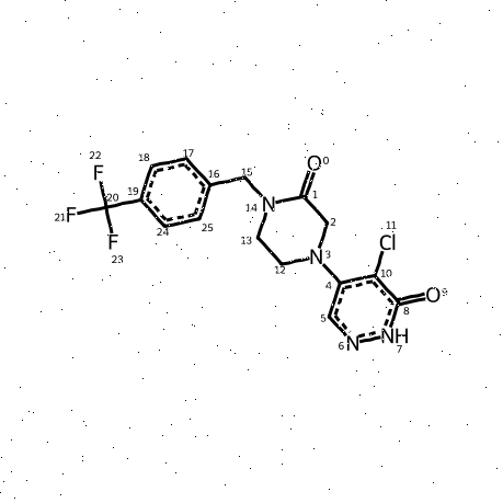 O=C1CN(c2cn[nH]c(=O)c2Cl)CCN1Cc1ccc(C(F)(F)F)cc1